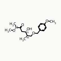 COc1ccc(COC[C@@H](C)[C@@H](O)CC(=O)N(C)OC)cc1